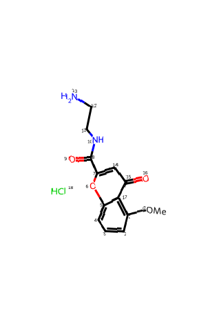 COc1cccc2oc(C(=O)NCCN)cc(=O)c12.Cl